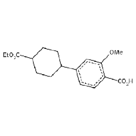 CCOC(=O)C1CCC(c2ccc(C(=O)O)c(OC)c2)CC1